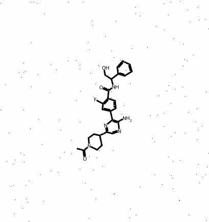 CC(=O)N1CCC(c2cnc(N)c(-c3ccc(C(=O)NC(CO)c4ccccc4)c(F)c3)n2)CC1